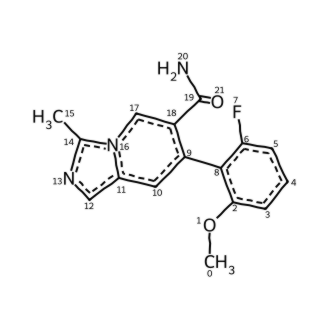 COc1cccc(F)c1-c1cc2cnc(C)n2cc1C(N)=O